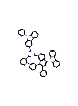 c1ccc(-c2nc(-c3ccc4c(c3)c3ccccc3n4-c3ccccc3)nc(-c3cccc4oc5ccc(-c6ccc(-n7c8ccccc8c8ccccc87)c7sc8ccccc8c67)cc5c34)n2)cc1